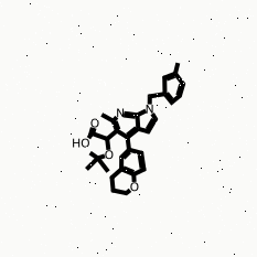 Cc1cccc(Cn2ccc3c(-c4ccc5c(c4)CCCO5)c(C(OC(C)(C)C)C(=O)O)c(C)nc32)c1